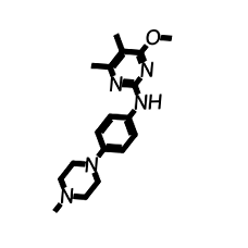 COc1nc(Nc2ccc(N3CCN(C)CC3)cc2)nc(C)c1C